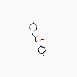 N#Cc1ccc(N2CC(CN3CCC(C(=O)O)CC3)OC2=O)cc1